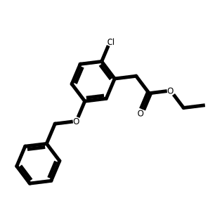 CCOC(=O)Cc1cc(OCc2ccccc2)ccc1Cl